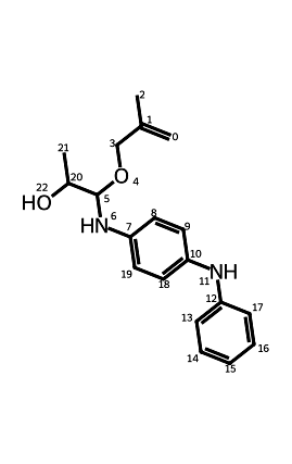 C=C(C)COC(Nc1ccc(Nc2ccccc2)cc1)C(C)O